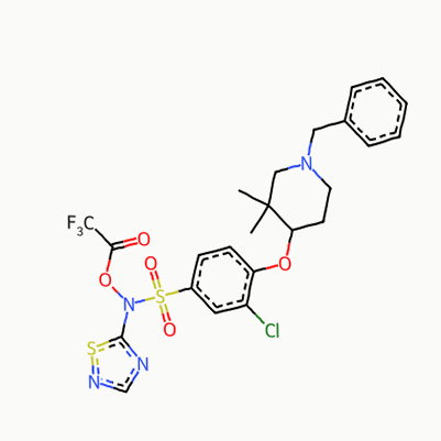 CC1(C)CN(Cc2ccccc2)CCC1Oc1ccc(S(=O)(=O)N(OC(=O)C(F)(F)F)c2ncns2)cc1Cl